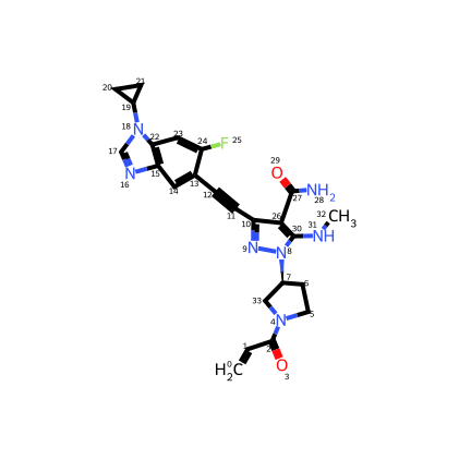 C=CC(=O)N1CC[C@H](n2nc(C#Cc3cc4ncn(C5CC5)c4cc3F)c(C(N)=O)c2NC)C1